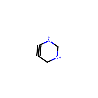 C1#CN[CH]NC1